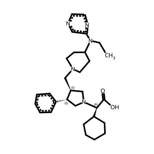 CCN(c1cnccn1)C1CCN(C[C@H]2CN([C@@H](C(=O)O)C3CCCCC3)C[C@@H]2c2ccccc2)CC1